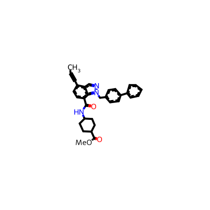 CC#Cc1ccc(C(=O)NC2CCC(C(=O)OC)CC2)c2c1cnn2Cc1ccc(-c2ccccc2)cc1